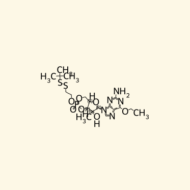 CCOc1nc(N)nc2c1ncn2[C@@H]1O[C@@H]2COP(=O)(OCCSSC(C)(C)C)O[C@H]2[C@@]1(C)O